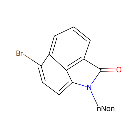 CCCCCCCCCN1C(=O)c2cccc3c(Br)ccc1c23